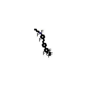 C=CCC/C(F)=C(\F)c1ccc(CCc2ccc(-c3cc(F)c(OC(F)(F)F)c(F)c3)cc2)c(F)c1